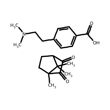 CC12CCC(C(=O)C1=O)C2(C)C.CN(C)CCc1ccc(C(=O)O)cc1